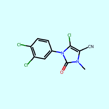 Cn1c(C#N)c(Cl)n(-c2ccc(Cl)c(Cl)c2)c1=O